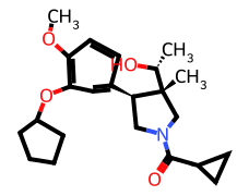 COc1ccc([C@@H]2CN(C(=O)[C]3CC3)C[C@@]2(C)[C@@H](C)O)cc1OC1CCCC1